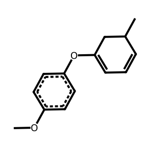 COc1ccc(OC2=CC=CC(C)C2)cc1